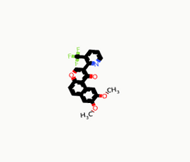 COc1cc2ccc3occ(-c4ncccc4C(F)(F)F)c(=O)c3c2cc1OC